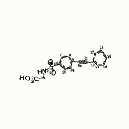 O=C(O)CNS(=O)(=O)c1ccc(C#Cc2ccccc2)cc1